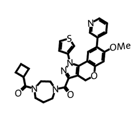 COc1cc2c(cc1-c1cccnc1)-c1c(c(C(=O)N3CCCN(C(=O)C4CCC4)CC3)nn1-c1ccsc1)CO2